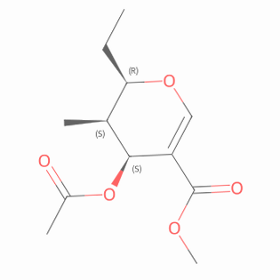 CC[C@H]1OC=C(C(=O)OC)[C@@H](OC(C)=O)[C@H]1C